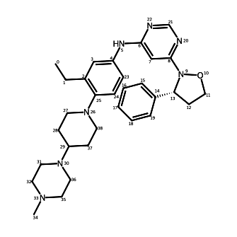 CCc1cc(Nc2cc(N3OCC[C@@H]3c3ccccc3)ncn2)ccc1N1CCC(N2CCN(C)CC2)CC1